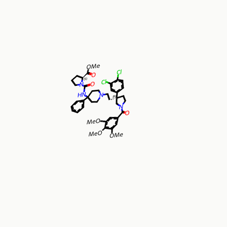 COC(=O)[C@@H]1CCCN1C(=O)NC1(c2ccccc2)CCN(CC[C@]2(c3ccc(Cl)c(Cl)c3)CCN(C(=O)c3cc(OC)c(OC)c(OC)c3)C2)CC1